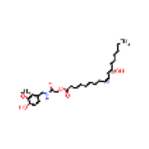 CCCCCC[C@@H](O)C/C=C\CCCCCCCC(=O)OCC(=O)NCc1ccc(O)c(OC)c1